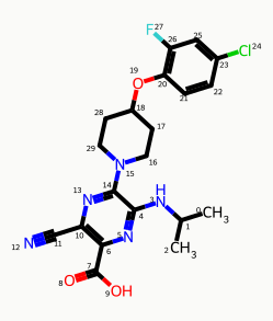 CC(C)Nc1nc(C(=O)O)c(C#N)nc1N1CCC(Oc2ccc(Cl)cc2F)CC1